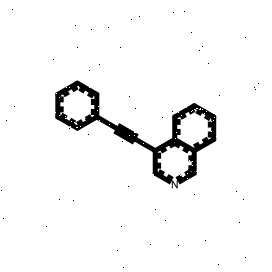 C(#Cc1cncc2ccccc12)c1ccccc1